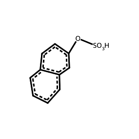 O=S(=O)(O)Oc1ccc2ccccc2c1